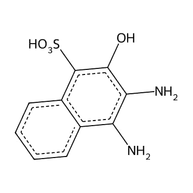 Nc1c(O)c(S(=O)(=O)O)c2ccccc2c1N